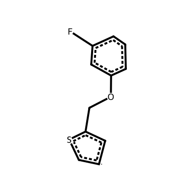 Fc1cccc(OCc2c[c]cs2)c1